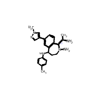 C/C(N)=C1\c2ccc(-c3cnn(C)c3)cc2C(Nc2ccc(C)cc2)CCN1N